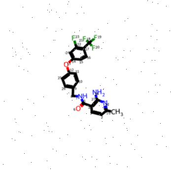 Cc1ccc(C(=O)NCc2ccc(Oc3ccc(C(F)(F)F)c(F)c3)cc2)c(N)n1